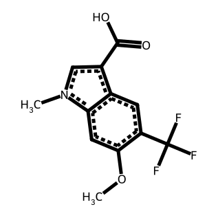 COc1cc2c(cc1C(F)(F)F)c(C(=O)O)cn2C